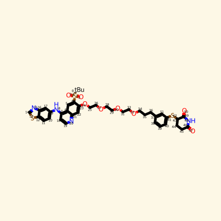 CC(C)(C)S(=O)(=O)c1cc2c(Nc3ccc4scnc4c3)ccnc2cc1OCCOCCOCCOCCCc1cccc(SC2CCC(=O)NC2=O)c1